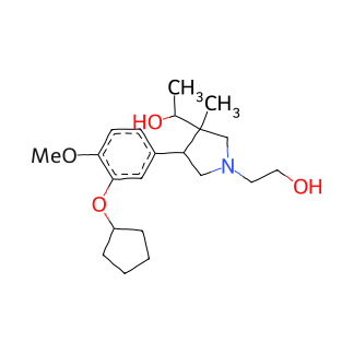 COc1ccc(C2CN(CCO)CC2(C)C(C)O)cc1OC1CCCC1